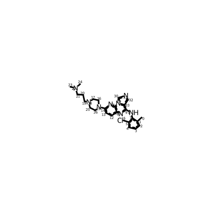 Cc1cccc(Cl)c1Nc1nc2ccc(N3CCN(CCCN(C)C)CC3)nc2n2cncc12